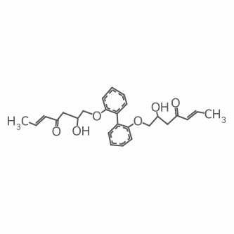 CC=CC(=O)CC(O)COc1ccccc1-c1ccccc1OCC(O)CC(=O)C=CC